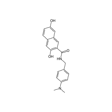 CN(C)c1ccc(CNC(=O)c2cc3cc(O)ccc3cc2O)cc1